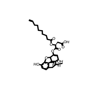 C=CCCCCCCCC(=O)O[C@@H](CC(=O)O)C(=O)OC1=CC[C@@]2(O)[C@H]3Cc4ccc(O)c5c4C2(CCN3C)C1O5